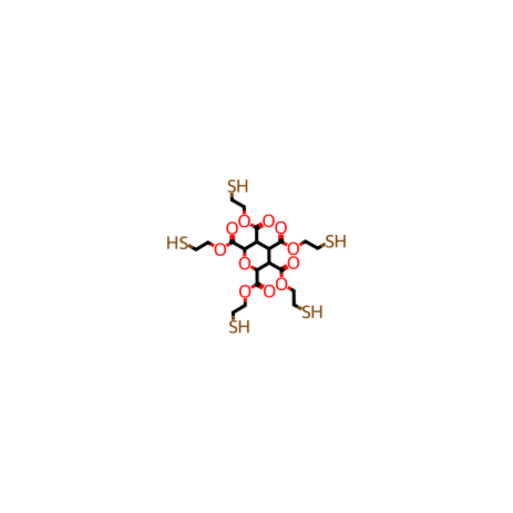 O=C(OCCS)C1OC(C(=O)OCCS)C(C(=O)OCCS)C(C(=O)OCCS)C1C(=O)OCCS